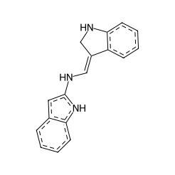 C(Nc1cc2ccccc2[nH]1)=C1CNc2ccccc21